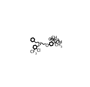 CC(C)(O)c1ccc(OCCCN(CCc2ccccc2)Cc2cccc(C(F)(F)F)c2Cl)cc1S(C)(=O)=O